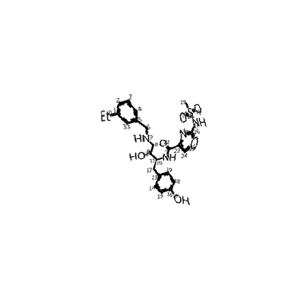 CCc1cccc(CNC[C@@H](O)[C@H](Cc2ccc(O)cc2)NC(=O)c2coc(NS(C)(=O)=O)n2)c1